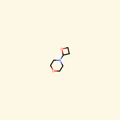 C1CN(C2CCO2)CCO1